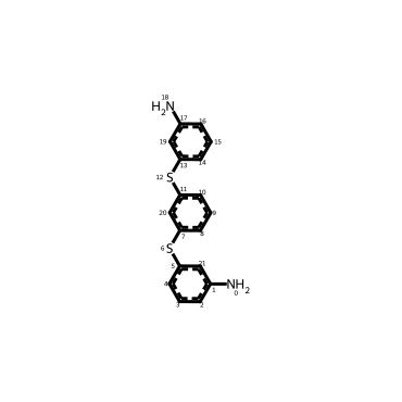 Nc1cccc(Sc2cccc(Sc3cccc(N)c3)c2)c1